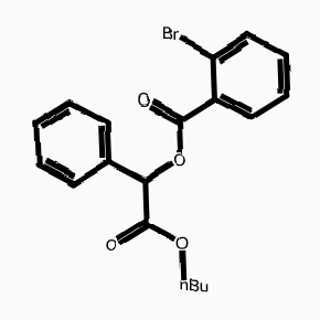 CCCCOC(=O)C(OC(=O)c1ccccc1Br)c1ccccc1